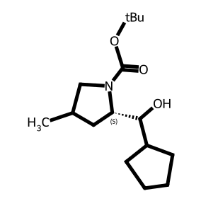 CC1C[C@@H](C(O)C2CCCC2)N(C(=O)OC(C)(C)C)C1